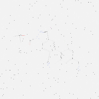 CNCc1cc(C)c(-c2cc3c(I)nn(C(=O)OC(C)(C)C)c3cc2C#N)c(F)c1